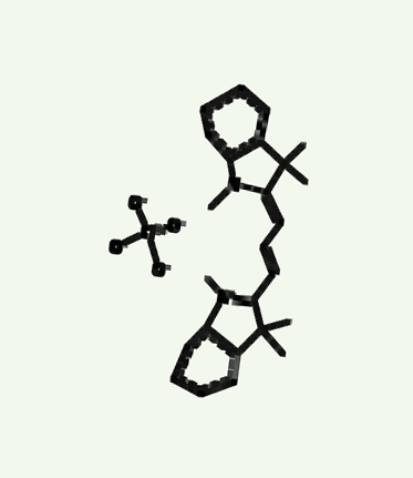 CN1C(=CC=CC2=[N+](C)c3ccccc3C2(C)C)C(C)(C)c2ccccc21.[O-][Cl+3]([O-])([O-])[O-]